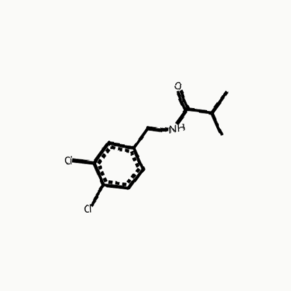 CC(C)C(=O)NCc1ccc(Cl)c(Cl)c1